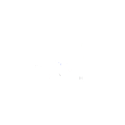 C=CCC[C@@H](C(=O)OC)N(C)C(=O)CCCC(F)(F)F